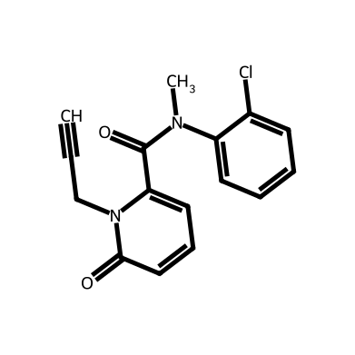 C#CCn1c(C(=O)N(C)c2ccccc2Cl)cccc1=O